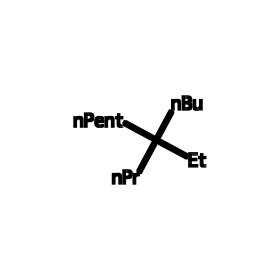 CCCCCC(CC)(CCC)CCCC